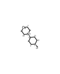 I[C@H]1CC[C@@H](N2CCOCC2)CC1